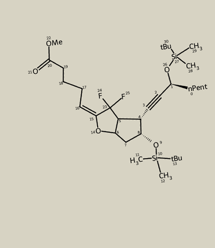 CCCCC[C@@H](C#C[C@H]1C2C(C[C@H]1O[Si](C)(C)C(C)(C)C)OC(=CCCCC(=O)OC)C2(F)F)O[Si](C)(C)C(C)(C)C